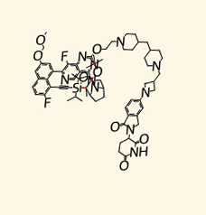 COCOc1cc(-c2ncc3c(N4CC5CCC(C4)N5C(=O)OC(C)(C)C)nc(OCCN4CCC(CC5CCN(CC6CN(c7ccc8c(c7)CN(C7CCC(=O)NC7=O)C8=O)C6)CC5)CC4)nc3c2F)c2c(C#C[Si](C(C)C)(C(C)C)C(C)C)c(F)ccc2c1